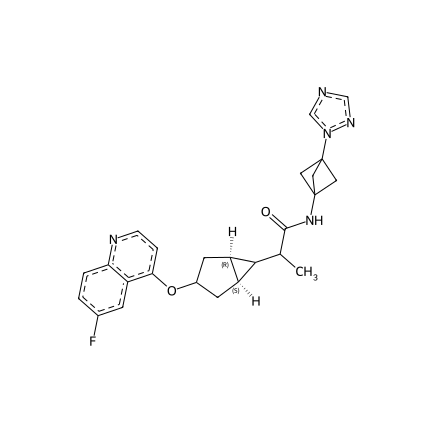 CC(C(=O)NC12CC(n3cncn3)(C1)C2)C1[C@H]2CC(Oc3ccnc4ccc(F)cc34)C[C@@H]12